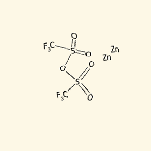 O=S(=O)(OS(=O)(=O)C(F)(F)F)C(F)(F)F.[Zn].[Zn]